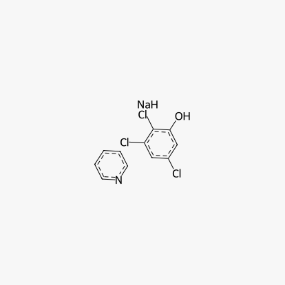 Oc1cc(Cl)cc(Cl)c1Cl.[NaH].c1ccncc1